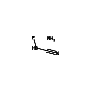 N.N#CBF